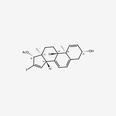 CC(=O)O[C@H]1C(F)=C[C@H]2C3=CC=C4C[C@@H](O)C=C[C@]4(C)[C@H]3CC[C@@]21C